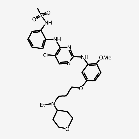 CCN(CCCOc1ccc(OC)c(Nc2ncc(Cl)c(Nc3ccccc3NS(C)(=O)=O)n2)c1)C1CCOCC1